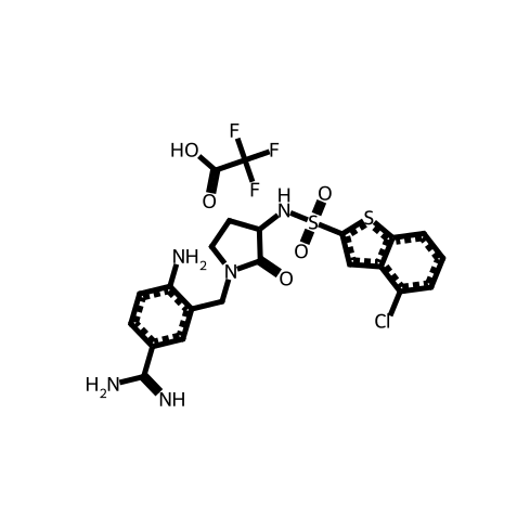 N=C(N)c1ccc(N)c(CN2CCC(NS(=O)(=O)c3cc4c(Cl)cccc4s3)C2=O)c1.O=C(O)C(F)(F)F